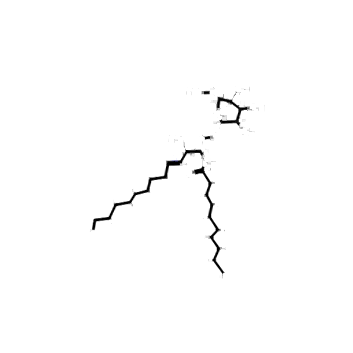 CCCCCCCCC/C=C/[C@@H](O)[C@H](CO[C@@H]1O[C@H](CO)[C@@H](O)C(O)C1O)NC(=O)CCCCCCCCC